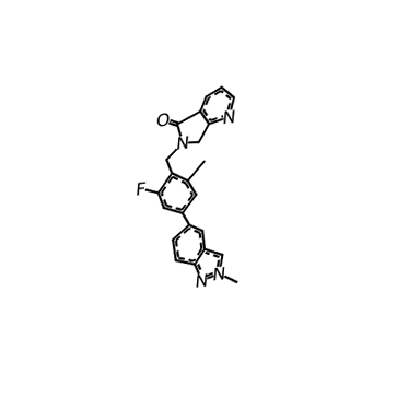 Cc1cc(-c2ccc3nn(C)cc3c2)cc(F)c1CN1Cc2ncccc2C1=O